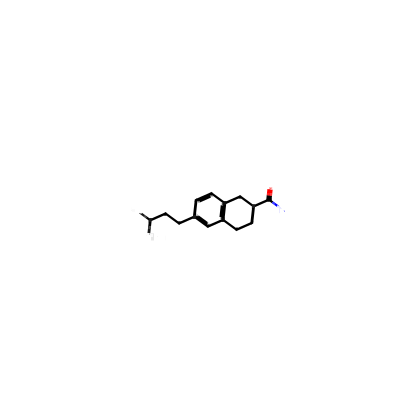 CCCCC(CCCC)CCc1ccc2c(c1)CCC(C(N)=O)C2